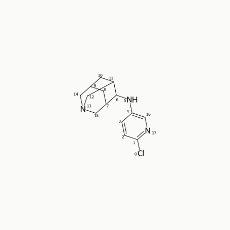 Clc1ccc(NC2C3CC4CC2CN(C4)C3)cn1